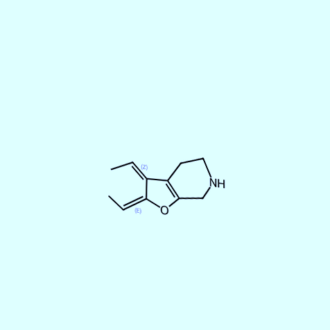 C/C=c1/c2c(o/c1=C/C)CNCC2